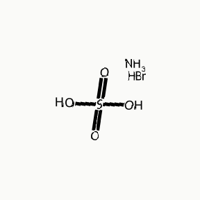 Br.N.O=S(=O)(O)O